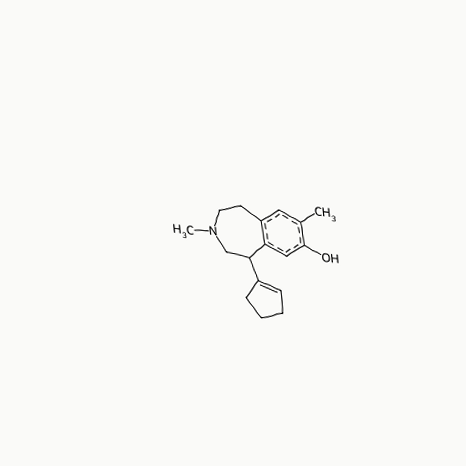 Cc1cc2c(cc1O)C(C1=CCCC1)CN(C)CC2